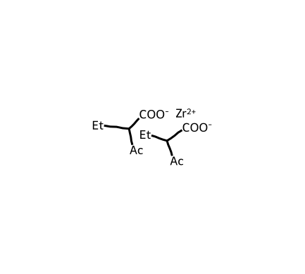 CCC(C(C)=O)C(=O)[O-].CCC(C(C)=O)C(=O)[O-].[Zr+2]